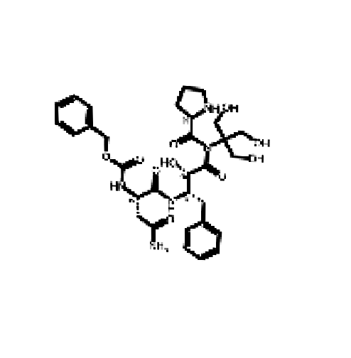 NC(=O)C[C@H](NC(=O)OCc1ccccc1)C(=O)N[C@@H](Cc1ccccc1)[C@H](O)C(=O)N(C(=O)[C@H]1CCCN1)C(CO)(CO)CO